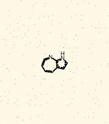 C1=CC=Cc2cc[nH]c2N=1